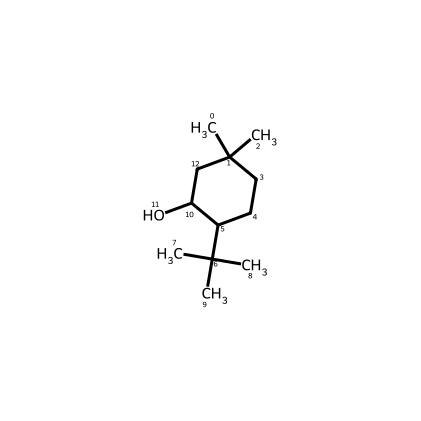 CC1(C)CCC(C(C)(C)C)C(O)C1